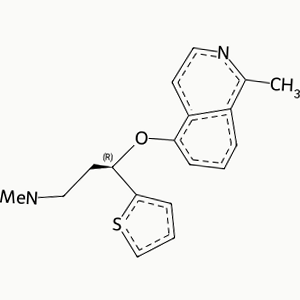 CNCC[C@@H](Oc1cccc2c(C)nccc12)c1cccs1